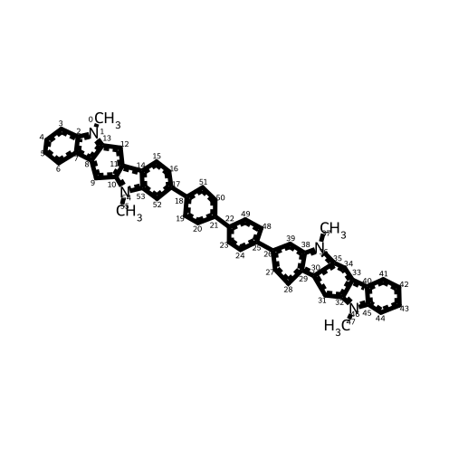 Cn1c2ccccc2c2cc3c(cc21)c1ccc(-c2ccc(-c4ccc(-c5ccc6c7cc8c(cc7n(C)c6c5)c5ccccc5n8C)cc4)cc2)cc1n3C